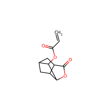 C=CC(=O)OC1C2CC3C(=O)OC1C3C2